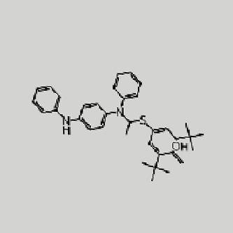 C=C(O)/C(=C\C(=C/CC(C)(C)C)SC(C)N(c1ccccc1)c1ccc(Nc2ccccc2)cc1)C(C)(C)C